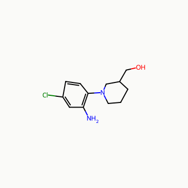 Nc1cc(Cl)ccc1N1CCCC(CO)C1